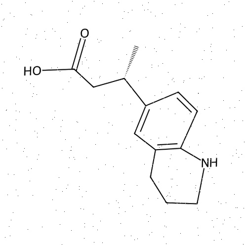 C[C@@H](CC(=O)O)c1ccc2c(c1)CCCN2